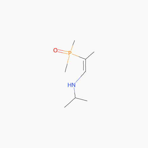 C/C(=C/NC(C)C)P(C)(C)=O